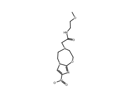 COCCNC(=O)CN1CCOc2nc([N+](=O)[O-])cn2CC1